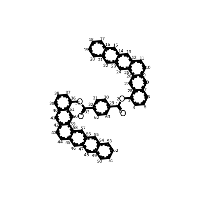 O=C(Oc1cccc2cc3ccc4cc5cc6ccccc6cc5cc4c3cc12)c1ccc(C(=O)Oc2cccc3cc4ccc5cc6cc7ccccc7cc6cc5c4cc23)cc1